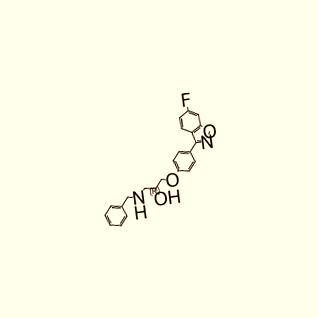 O[C@H](CNCc1ccccc1)COc1ccc(-c2noc3cc(F)ccc23)cc1